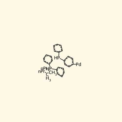 CCCC.CCCC.[Pd][c]1ccc(Pc2ccccc2)cc1.c1ccc(Pc2ccccc2)cc1